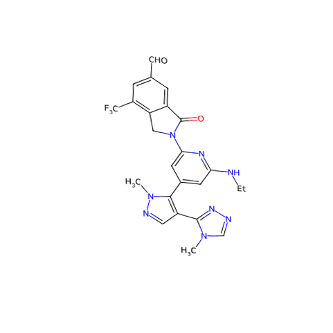 CCNc1cc(-c2c(-c3nncn3C)cnn2C)cc(N2Cc3c(cc(C=O)cc3C(F)(F)F)C2=O)n1